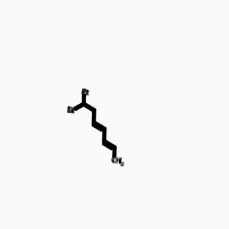 CC=CC=CCC(CC)CC